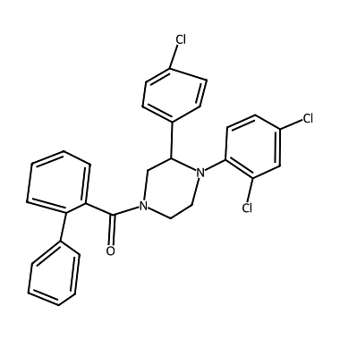 O=C(c1ccccc1-c1ccccc1)N1CCN(c2ccc(Cl)cc2Cl)C(c2ccc(Cl)cc2)C1